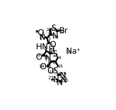 CON=C(C(=O)NC1C(=O)N2C(C(=O)[O-])=C(CSc3nnnn3C)CS[C@@H]12)c1csc(Br)n1.[Na+]